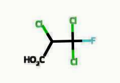 O=C(O)C(Cl)C(F)(Cl)Cl